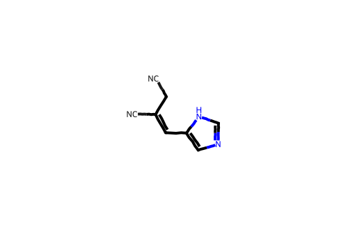 N#CCC(C#N)=Cc1cnc[nH]1